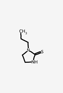 CCCN1CCNC1=S